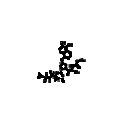 C=C[C@@H]1C[C@]1(NC(=O)[C@@H]1C[C@@H](Oc2nccc3c(O)c(O)ccc23)CN1C(=O)[C@@H](NC(=O)OC(C)(C)C)C(C)(C)C)C(=O)NS(=O)(=O)C1CC1